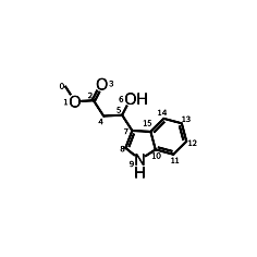 COC(=O)CC(O)c1c[nH]c2ccccc12